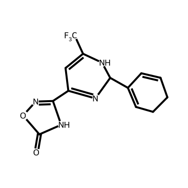 O=c1[nH]c(C2=NC(C3=CCCC=C3)NC(C(F)(F)F)=C2)no1